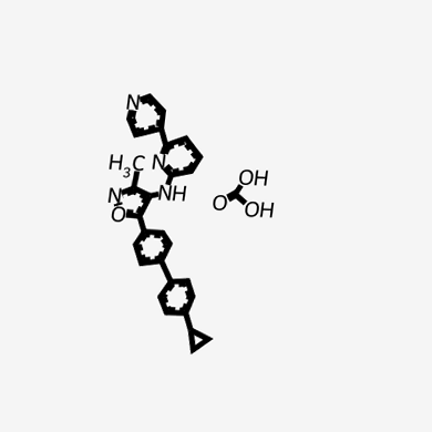 Cc1noc(-c2ccc(-c3ccc(C4CC4)cc3)cc2)c1Nc1cccc(-c2ccncc2)n1.O=C(O)O